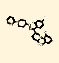 O=c1ccc(/C(=N/OC2CCN(c3ccccn3)CC2)c2ccc(F)cc2F)cn1-c1c(Cl)cccc1Cl